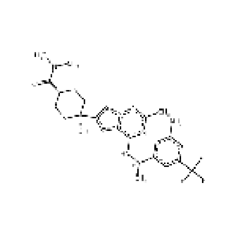 Cc1nc(N[C@H](C)c2cc(N)cc(C(F)(F)F)c2)c2cc([C@]3(O)CC[C@H](C(=O)N(C)C)CC3)cn2n1